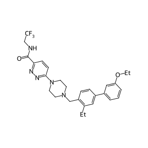 CCOc1cccc(-c2ccc(CN3CCN(c4ccc(C(=O)NCC(F)(F)F)nn4)CC3)c(CC)c2)c1